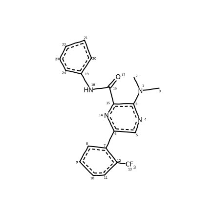 CN(C)c1ncc(-c2ccccc2C(F)(F)F)nc1C(=O)Nc1ccccc1